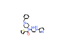 N=C(/C=C\Nc1cccnc1)N(C(=O)c1cccs1)C1CCN(Cc2ccccc2)CC1